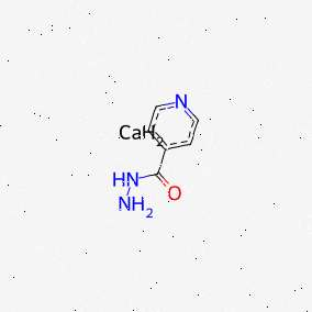 NNC(=O)c1ccncc1.[CaH2]